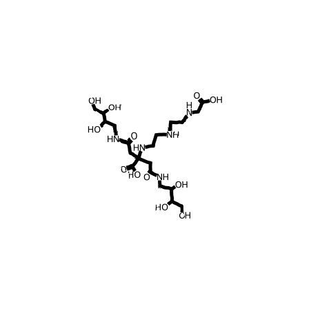 O=C(O)CNCCNCCNC(CC(=O)NCC(O)C(O)CO)(CC(=O)NCC(O)C(O)CO)C(=O)O